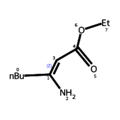 CCCC/C(N)=C/C(=O)OCC